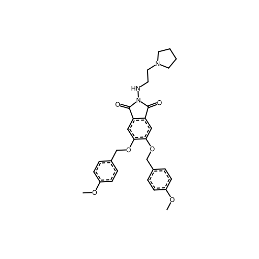 COc1ccc(COc2cc3c(cc2OCc2ccc(OC)cc2)C(=O)N(NCCN2CCCC2)C3=O)cc1